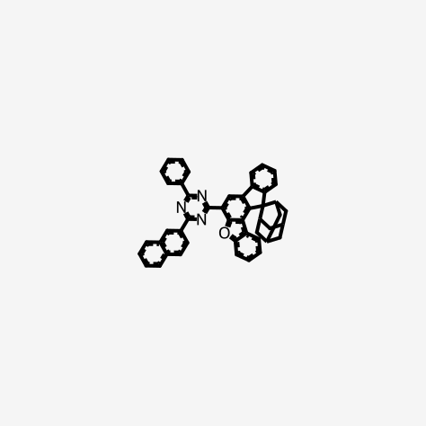 c1ccc(-c2nc(-c3ccc4ccccc4c3)nc(-c3cc4c(c5c3oc3ccccc35)C3(c5ccccc5-4)C4CC5CC(C4)CC3C5)n2)cc1